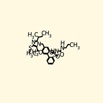 CCCNC(=O)NS(=O)(=O)c1ccccc1-c1ccc(Cn2c(C(C)CC)nc(SC)c2C(C)=O)cc1